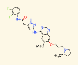 [CH2][C@@H]1CCCN1CCCOc1cc2ncnc(Nc3cc(CC(=O)Nc4cccc(F)c4F)[nH]n3)c2cc1OC